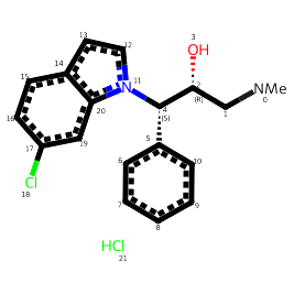 CNC[C@@H](O)[C@H](c1ccccc1)n1ccc2ccc(Cl)cc21.Cl